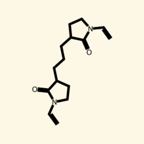 C=CN1CCC(CCCC2CCN(C=C)C2=O)C1=O